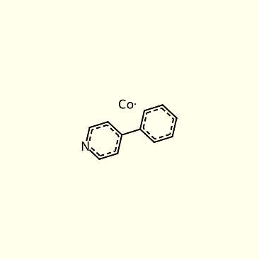 [Co].c1ccc(-c2ccncc2)cc1